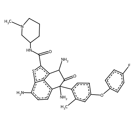 Cc1cc(Oc2ccc(F)cc2)ccc1C1(N)C(=O)C(N)c2c(C(=O)NC3CCCN(C)C3)sc3c(N)ccc1c23